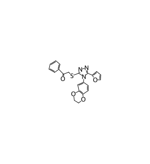 O=C(CSc1nnc(-c2ccco2)n1-c1ccc2c(c1)OCCO2)c1ccccc1